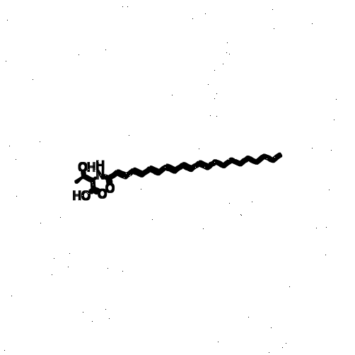 CCCCCCCCCC=CC=CC=CC=CC=CC=CC(=O)N[C@H](C(=O)O)[C@@H](C)O